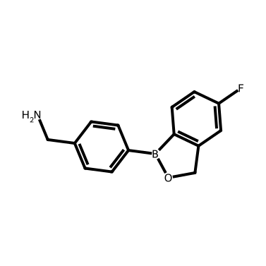 NCc1ccc(B2OCc3cc(F)ccc32)cc1